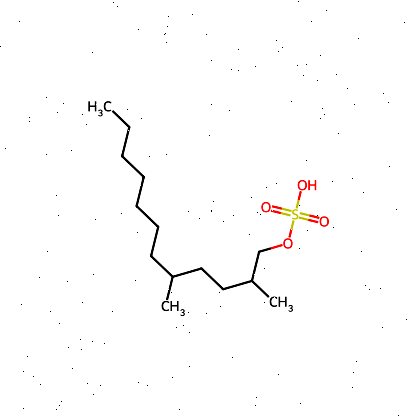 CCCCCCCC(C)CCC(C)COS(=O)(=O)O